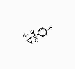 CC(=O)C1(S(=O)(=O)c2ccc(F)cc2)CC1